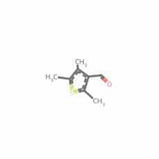 Cc1sc(C)c(C=O)c1C